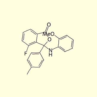 COc1ccccc1NC1(c2ccc(C)cc2)OC(=O)c2cccc(F)c21